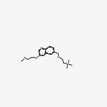 COCCOc1cnc2ccc(COCC[Si](C)(C)C)cc2c1